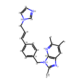 CCc1nc2cc(C)c(C)nc2n1Cc1ccc(C=CCn2ccnc2)cc1